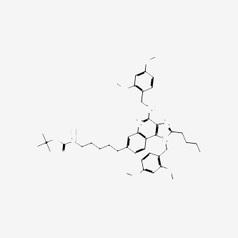 CCCCc1nc2c(NCc3ccc(OC)cc3OC)nc3cc(CCCCCNC(=O)OC(C)(C)C)ccc3c2n1Cc1ccc(OC)cc1OC